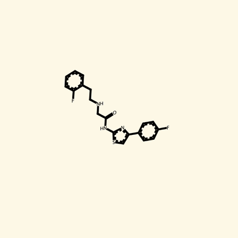 O=C(CNCCc1ccccc1F)Nc1nc(-c2ccc(F)cc2)cs1